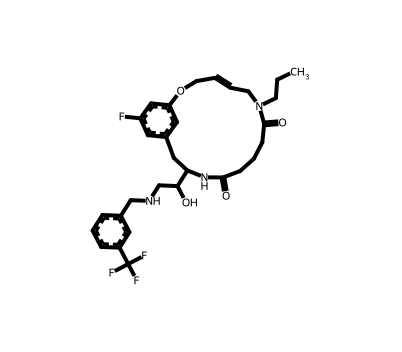 CCCN1C/C=C/COc2cc(F)cc(c2)CC(C(O)CNCc2cccc(C(F)(F)F)c2)NC(=O)CCCC1=O